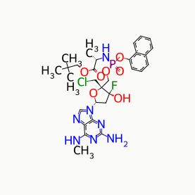 CNc1nc(N)nc2c1ncn2[C@H]1C[C@@](O)(F)[C@@](CCl)(CO[P@@](=O)(N[C@@H](C)C(=O)OCC(C)(C)C)Oc2cccc3ccccc23)O1